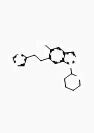 Clc1cc2cnn(C3CCCCO3)c2cc1CCc1cscn1